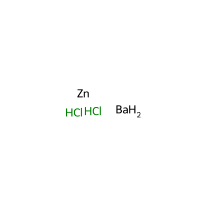 Cl.Cl.[BaH2].[Zn]